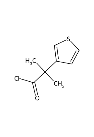 CC(C)(C(=O)Cl)c1ccsc1